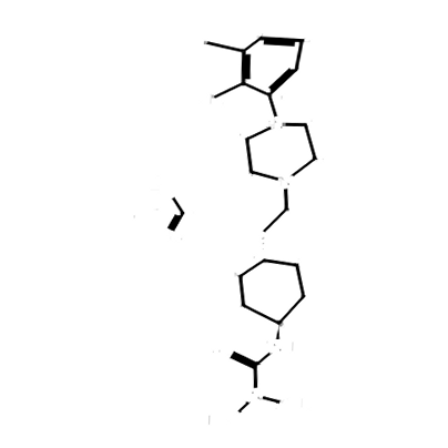 CN(C)C(=O)N[C@H]1CC[C@H](CCN2CCN(c3cccc(Cl)c3Cl)CC2)CC1.Cl.O=CO